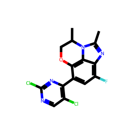 Cc1nc2c(F)cc(-c3nc(Cl)ncc3Cl)c3c2n1C(C)CO3